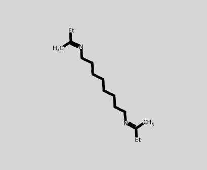 CCC(C)=NCCCCCCCCN=C(C)CC